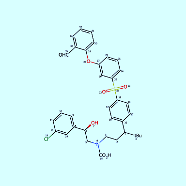 CC(C)(C)C(CCN(C[C@H](O)c1cccc(Cl)c1)C(=O)O)c1ccc(S(=O)(=O)c2cccc(Oc3ccccc3C=O)c2)cc1